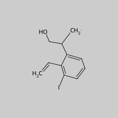 [CH2]C(CO)c1cccc(I)c1C=C